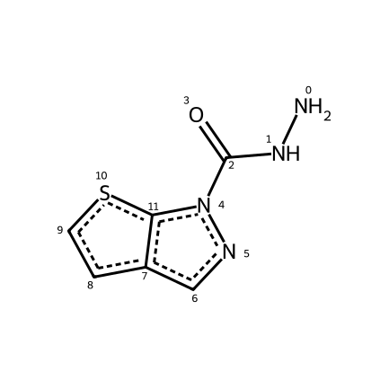 NNC(=O)n1ncc2ccsc21